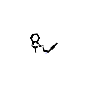 CC#C/C=C\On1c(C)nc2c1CCC=C2